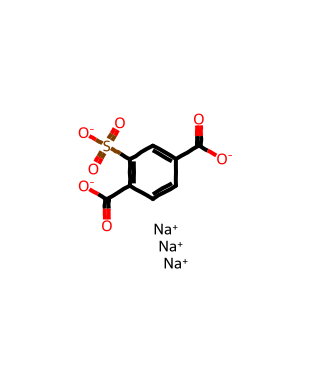 O=C([O-])c1ccc(C(=O)[O-])c(S(=O)(=O)[O-])c1.[Na+].[Na+].[Na+]